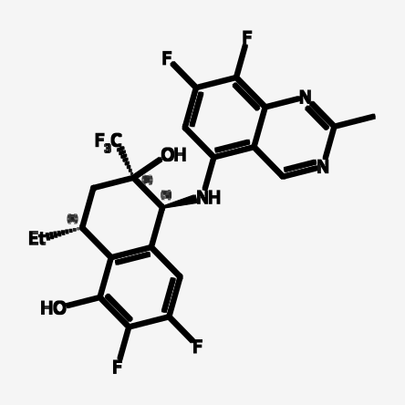 CC[C@@H]1C[C@](O)(C(F)(F)F)[C@@H](Nc2cc(F)c(F)c3nc(C)ncc23)c2cc(F)c(F)c(O)c21